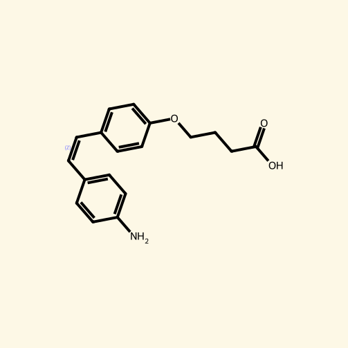 Nc1ccc(/C=C\c2ccc(OCCCC(=O)O)cc2)cc1